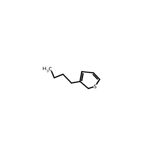 CCCCC1=CC=CSC1